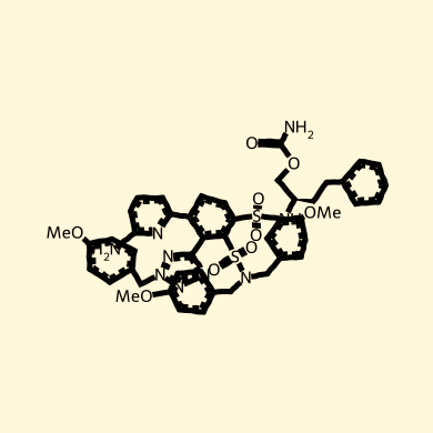 COc1ccc(CN(Cc2ccc(OC)cc2)S(=O)(=O)c2c(S(=O)(=O)N[C@H](CCc3ccccc3)COC(N)=O)ccc(-c3cccc(N)n3)c2-c2nnn(Cc3ccc(OC)cc3)n2)cc1